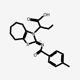 CCC(C(=O)O)n1c2c(s/c1=N\C(=O)c1ccc(C)cc1)CCCCC2